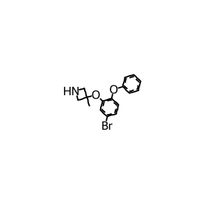 CC1(Oc2cc(Br)ccc2Oc2ccccc2)CNC1